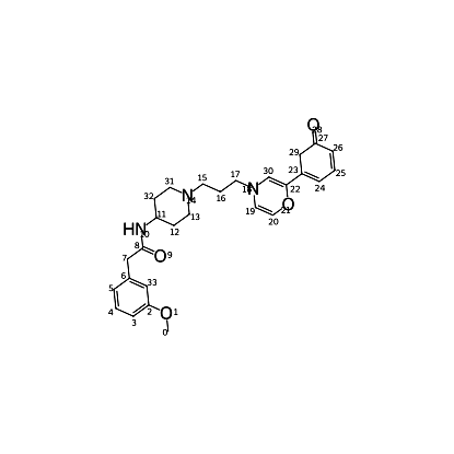 COc1cccc(CC(=O)NC2CCN(CCCN3C=COC(C4=CC=CC(=O)C4)=C3)CC2)c1